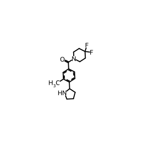 Cc1cc(C(=O)N2CCC(F)(F)CC2)ccc1C1CCCN1